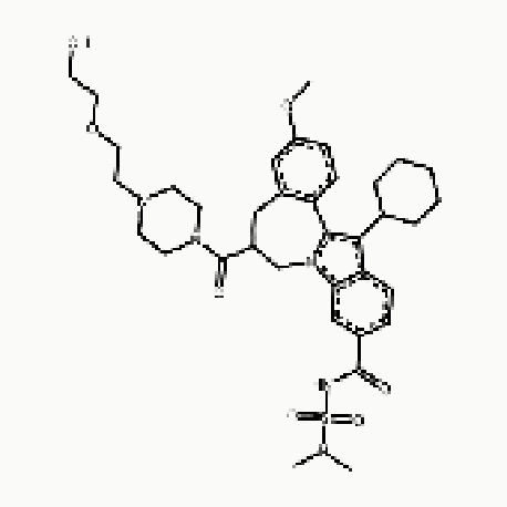 COc1ccc2c(c1)CC(C(=O)N1CCN(CCOCCO)CC1)Cn1c-2c(C2CCCCC2)c2ccc(C(=O)NS(=O)(=O)N(C)C)cc21